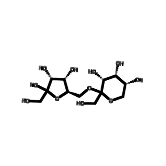 OCC1(O)O[C@H](COC2(CO)OC[C@@H](O)[C@@H](O)[C@H]2O)[C@@H](O)[C@H]1O